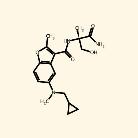 Cc1oc2ccc(N(C)CC3CC3)cc2c1C(=O)N[C@@](C)(CO)C(N)=O